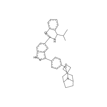 CC(C)C(NC(=O)c1ccc2[nH]nc(-c3ccc(OC4CC5CCC(C4)N5C4COC4)cc3)c2c1)c1ccccc1Cl